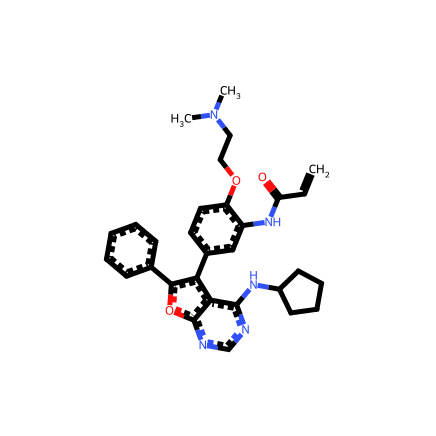 C=CC(=O)Nc1cc(-c2c(-c3ccccc3)oc3ncnc(NC4CCCC4)c23)ccc1OCCN(C)C